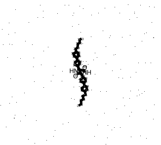 CCCCCCc1ccc(-c2ccc(C3=C4C(=O)NC(c5ccc(-c6ccc(CCCCCC)cc6)cc5)=C4C(=O)N3)cc2)cc1